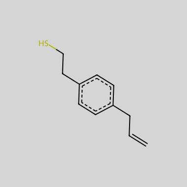 C=CCc1ccc(CCS)cc1